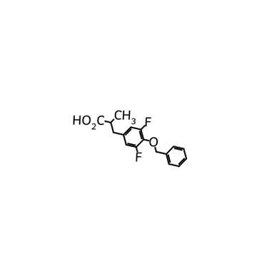 CC(Cc1cc(F)c(OCc2ccccc2)c(F)c1)C(=O)O